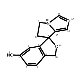 N#Cc1ccc2c(c1)C1(CCn3cncc31)OC2